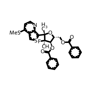 CSc1ccnc2c([C@]3(C)O[C@H](COC(=O)c4ccccc4)[C@@H](OC(=O)c4ccccc4)[C@@]3(C)F)scc12